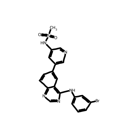 CS(=O)(=O)Nc1cncc(-c2ccc3ncnc(Nc4cccc(Br)c4)c3c2)c1